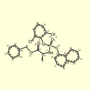 C[C@H](NP(=O)(Oc1c(Cl)cccc1C(F)(F)F)Oc1cccc2ccccc12)C(=O)OCc1ccccc1